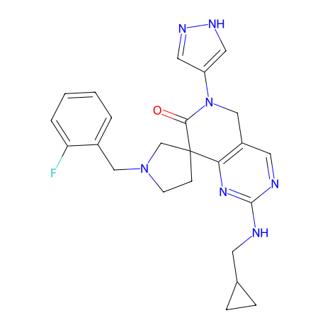 O=C1N(c2cn[nH]c2)Cc2cnc(NCC3CC3)nc2C12CCN(Cc1ccccc1F)C2